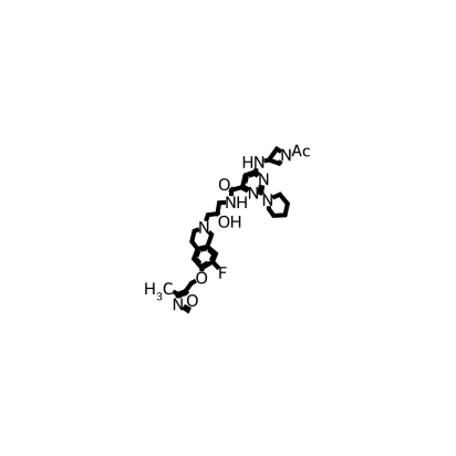 CC(=O)N1CC(Nc2cc(C(=O)NCC(O)CN3CCc4cc(OCc5ocnc5C)c(F)cc4C3)nc(N3CCCCC3)n2)C1